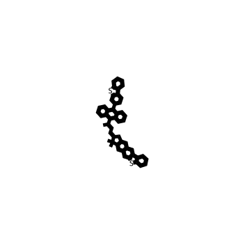 C/C(=C\C=C1/Cc2cc3cc4c(cc3cc2C1(C)C)sc1ccccc14)c1c2ccccc2c(-c2ccc3c(c2)sc2ccccc23)c2ccccc12